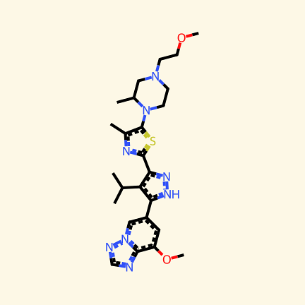 COCCN1CCN(c2sc(-c3n[nH]c(-c4cc(OC)c5ncnn5c4)c3C(C)C)nc2C)C(C)C1